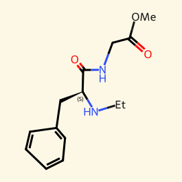 CCN[C@@H](Cc1ccccc1)C(=O)NCC(=O)OC